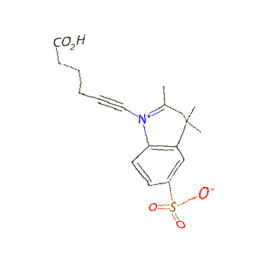 CC1=[N+](C#CCCCC(=O)O)c2ccc(S(=O)(=O)[O-])cc2C1(C)C